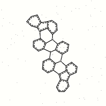 c1cc2c3c(c1)N1c4c(cccc4-n4c5ccccc5c5cccc1c54)B3c1cccc3c1N2c1cccc2c4ccccc4n-3c12